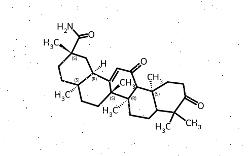 CC1(C)C(=O)CC[C@@]2(C)C1CC[C@]1(C)C2C(=O)C=C2[C@@H]3C[C@@](C)(C(N)=O)CC[C@]3(C)CC[C@]21C